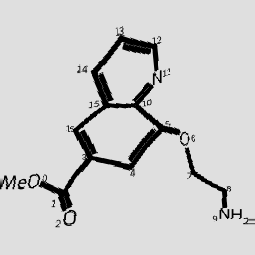 COC(=O)c1cc(OCCN)c2ncccc2c1